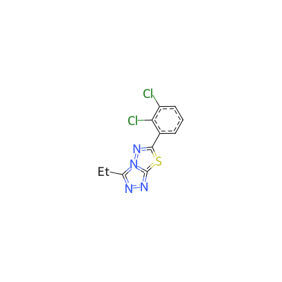 CCc1nnc2sc(-c3cccc(Cl)c3Cl)nn12